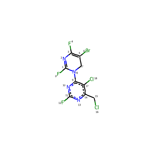 FC1=NC(F)=C(Br)[CH]N1c1nc(F)nc(CCl)c1Cl